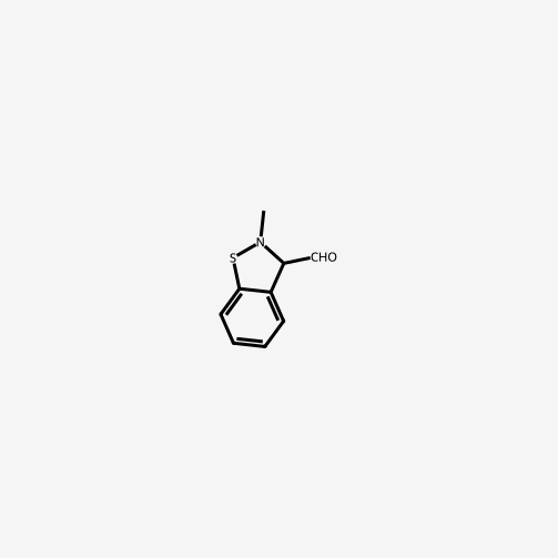 CN1Sc2ccccc2C1C=O